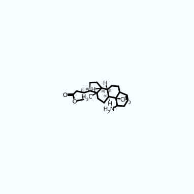 C[C@]12C(N)CC=CC1CC[C@H]1[C@H]3CC[C@H]([C@@H]4COC(=O)C4)[C@@]3(C)CC[C@@H]12